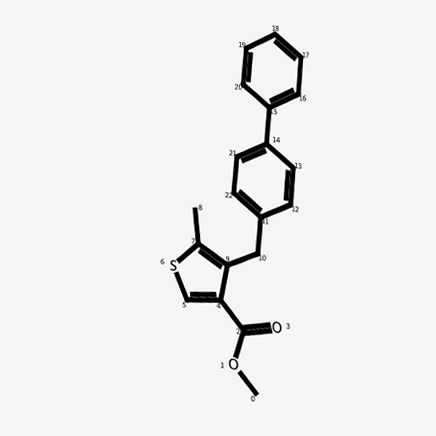 COC(=O)c1csc(C)c1Cc1ccc(-c2ccccc2)cc1